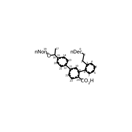 CCCCCCCCCCCCc1ccccc1-c1cc(-c2ccc(C(C)OCCCCCCCCC)cc2)ccc1C(=O)O